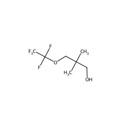 CC(C)(CO)COC(F)(F)C(F)(F)F